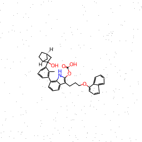 Cc1c(-c2cccc3c(CCCOc4cccc5ccccc45)c(OC(=O)O)[nH]c23)cccc1C1(O)C[C@@H]2CC[C@H]1C2